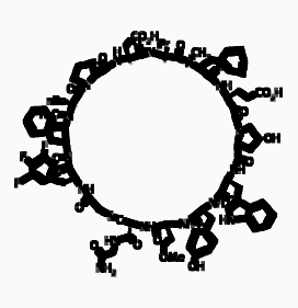 CCCC[C@H]1C(=O)N2CCC[C@@H]2C(=O)N[C@@H](CC(=O)O)C(=O)N[C@@H](C(C)C)C(=O)N(C)C(Cc2ccccc2)C(=O)N[C@@H](CCC(=O)O)C2OC2N2C[C@H](O)CC2C(=O)N[C@@H](Cc2c[nH]c3ccccc23)C(=O)N[C@@H](Cc2ccc(O)cc2)C(=O)N[C@@H](CCOC)C(=O)N[C@H](C(=O)NCC(N)=O)CSCC(=O)N[C@@H](Cc2cc(F)c(F)c(F)c2)C(=O)N(C)C(Cc2ccccc2)C(=O)N1C